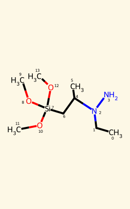 CCN(N)C(C)C[Si](OC)(OC)OC